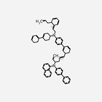 C=CCC1C=CC=C/C1=C\CN(c1ccc(C2=CC(/C=C/CC(C=C)N(c3ccc(-c4ccccc4)cc3)c3cccc4ccccc34)CC=C2)cc1)C1CC=C(C2=CC=CCC2)CC1